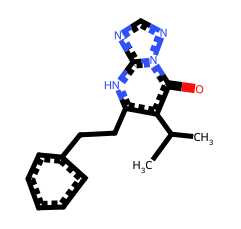 CC(C)c1c(CCc2ccccc2)[nH]c2ncnn2c1=O